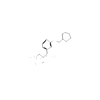 CC[C@H](CN)[C@@H](O)c1cccc(OCC2CCCCC2)c1